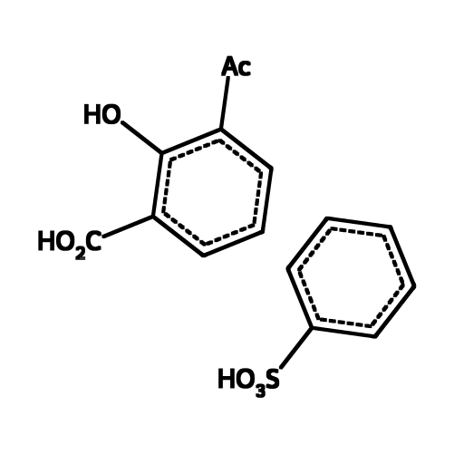 CC(=O)c1cccc(C(=O)O)c1O.O=S(=O)(O)c1ccccc1